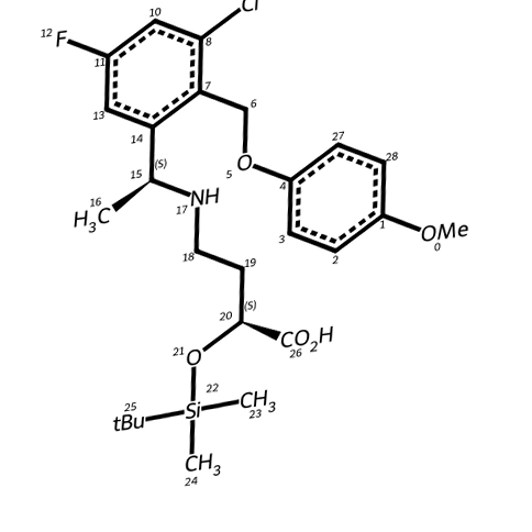 COc1ccc(OCc2c(Cl)cc(F)cc2[C@H](C)NCC[C@H](O[Si](C)(C)C(C)(C)C)C(=O)O)cc1